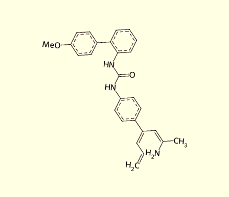 C=C/C=C(\C=C(\C)N)c1ccc(NC(=O)Nc2ccccc2-c2ccc(OC)cc2)cc1